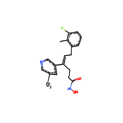 Cc1c(F)cccc1C/C=C(\CCC(=O)NO)c1cncc(C(F)(F)F)c1